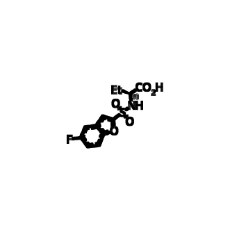 CC[C@H](NS(=O)(=O)c1cc2cc(F)ccc2o1)C(=O)O